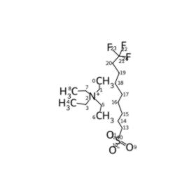 CC[N+](CC)(CC)CC.O=S(=O)([O-])CCCCCCCCC(F)(F)F